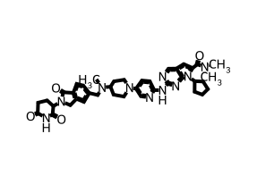 CN(C)C(=O)c1cc2cnc(Nc3ccc(N4CCC(N(C)Cc5ccc6c(c5)CN(C5CCC(=O)NC5=O)C6=O)CC4)cn3)nc2n1C1CCCC1